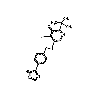 CC(C)(C)n1ncc(OCc2ccc(-c3ncn[nH]3)cc2)c(Cl)c1=O